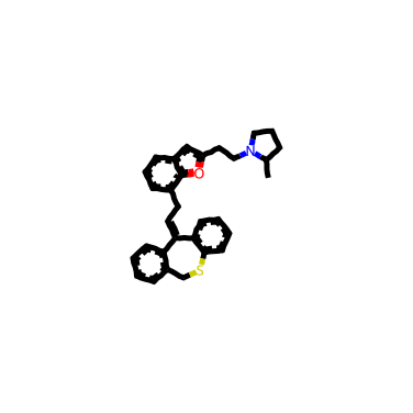 CC1CCCN1CCc1cc2cccc(C/C=C3/c4ccccc4CSc4ccccc43)c2o1